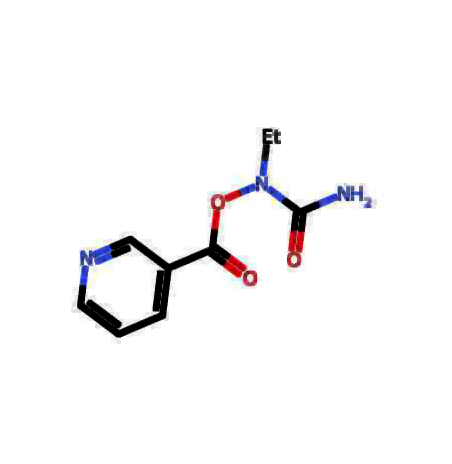 CCN(OC(=O)c1cccnc1)C(N)=O